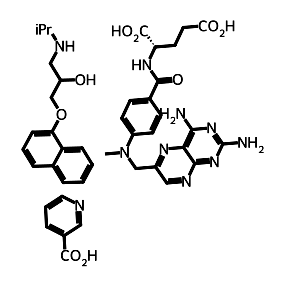 CC(C)NCC(O)COc1cccc2ccccc12.CN(Cc1cnc2nc(N)nc(N)c2n1)c1ccc(C(=O)N[C@@H](CCC(=O)O)C(=O)O)cc1.O=C(O)c1cccnc1